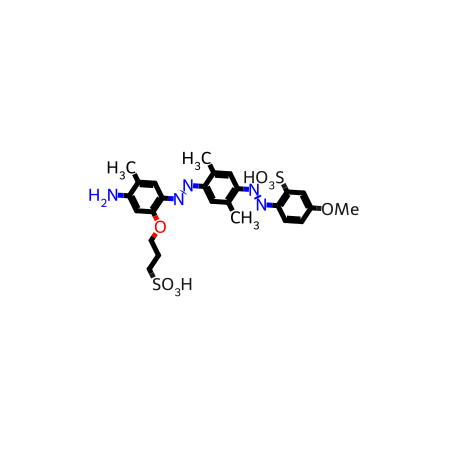 COc1ccc(N=Nc2cc(C)c(N=Nc3cc(C)c(N)cc3OCCCS(=O)(=O)O)cc2C)c(S(=O)(=O)O)c1